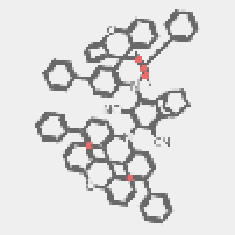 N#Cc1c2c(c(N3c4ccc(-c5ccccc5)cc4C4(c5ccccc5Oc5ccccc54)c4cc(-c5ccccc5)ccc43)c(C#N)c1N1c3ccc(-c4ccccc4)cc3C3(c4ccccc4Oc4ccccc43)c3cc(-c4ccccc4)ccc31)C1CCC2C1